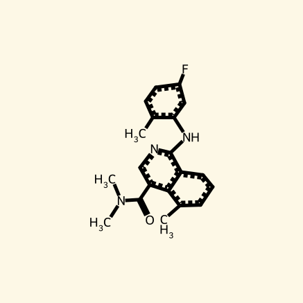 Cc1ccc(F)cc1Nc1ncc(C(=O)N(C)C)c2c(C)cccc12